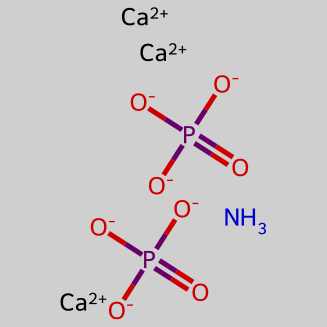 N.O=P([O-])([O-])[O-].O=P([O-])([O-])[O-].[Ca+2].[Ca+2].[Ca+2]